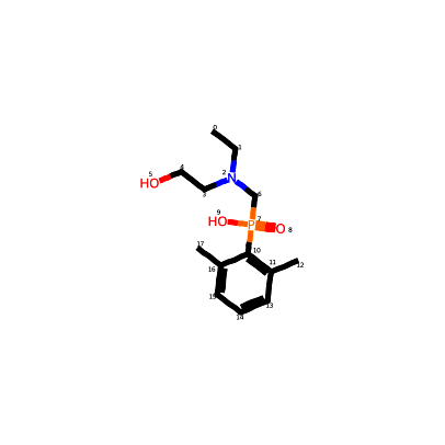 CCN(CCO)CP(=O)(O)c1c(C)cccc1C